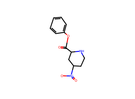 O=C(Oc1ccccc1)C1CC([N+](=O)[O-])CCN1